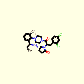 CC(C)CC(N)c1cccc(C(F)(F)F)c1N1CCN(C(=O)C(Cc2ccc(Cl)cc2Cl)N2CCCC2=O)CC1